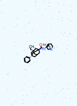 CC[C@]12CC3CC(C(=O)N[C@@H]4CN5CCC4CC5)(C1)C[C@@](c1ccccc1)(C3)C2